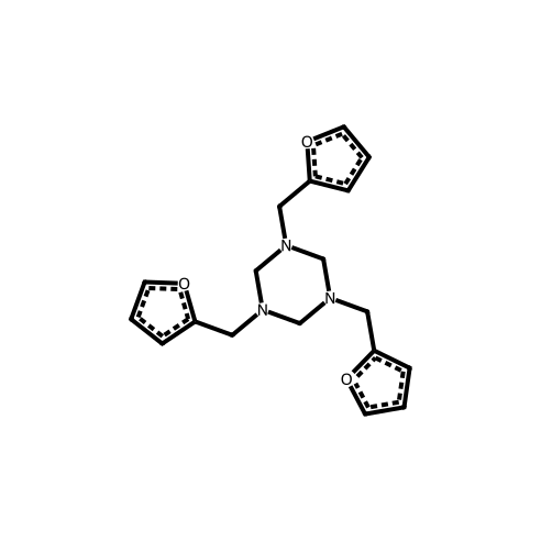 c1coc(CN2CN(Cc3ccco3)CN(Cc3ccco3)C2)c1